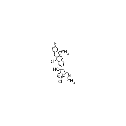 CC/N=C\N(C)CC(O)(c1ccc(Cl)cc1)c1ccc2nc(OC)c(Cc3ccc(F)cc3)c(Cl)c2c1